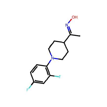 CC(=NO)C1CCN(c2ccc(F)cc2F)CC1